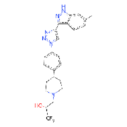 Cc1ccc2c(-c3cn(-c4ccc(C5CCN(CC(O)C(F)(F)F)CC5)cc4)nn3)n[nH]c2c1